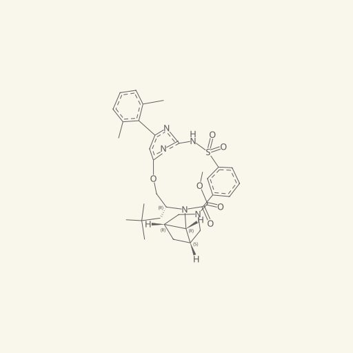 COC(=O)N1C[C@H]2C[C@@H](C1)[C@H]2N1C(=O)c2cccc(c2)S(=O)(=O)Nc2nc(cc(-c3c(C)cccc3C)n2)OC[C@H]1CC(C)(C)C